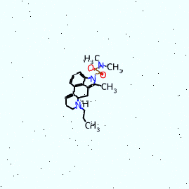 CCCN1CCC=C2c3cccc4c3c(c(C)n4S(=O)(=O)N(C)C)C[C@H]21